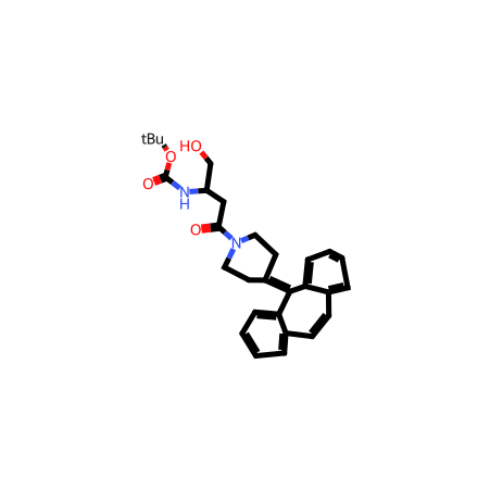 CC(C)(C)OC(=O)NC(CO)CC(=O)N1CCC(=C2c3ccccc3C=Cc3ccccc32)CC1